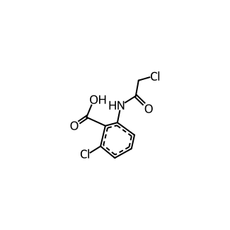 O=C(CCl)Nc1cccc(Cl)c1C(=O)O